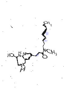 C=C/C=C/C=C/CCN(C)C(=O)/C=C/c1cnc2c(c1)CNCC(O)N2